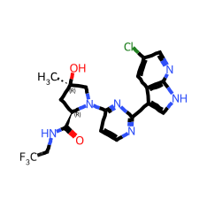 C[C@@]1(O)C[C@H](C(=O)NCC(F)(F)F)N(c2ccnc(-c3c[nH]c4ncc(Cl)cc34)n2)C1